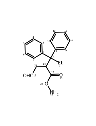 CCC(c1ccccc1)(c1ccccc1)C(CC=O)C(=O)ON